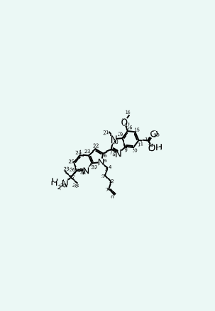 C=CCCCn1c(-c2nc3cc(C(=O)O)cc(OC)c3n2C)cc2ccc(C(C)(C)N)nc21